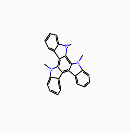 Cn1c2ccccc2c2c3c4ccccc4n(C)c3c3c(c4ccccc4n3C)c21